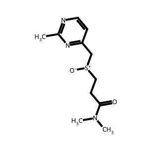 Cc1nccc(C[S+]([O-])CCC(=O)N(C)C)n1